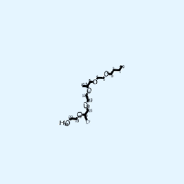 CCCCOCCOCC(C)OCCOCC(C)OCCO